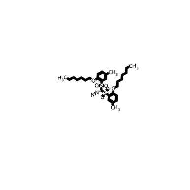 CCCCCCCOc1ccc(C)cc1S(=O)(=O)C(=[N+]=[N-])S(=O)(=O)c1cc(C)ccc1OCCCCCCC